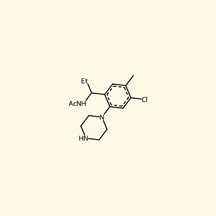 CCC(NC(C)=O)c1cc(C)c(Cl)cc1N1CCNCC1